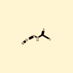 [N-]=[N+]=NNC([S])=S